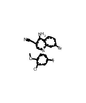 COc1ccc(F)cc1Cl.N#Cc1cnc2cc(Br)ccc2c1N